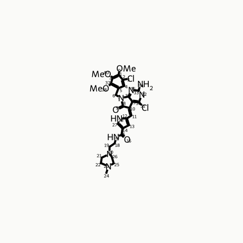 COc1c(Cl)cc(CN2C(=O)/C(=C\c3cc(C(=O)NCCN4CCN(C)CC4)c[nH]3)c3c(Cl)nc(N)nc32)c(OC)c1OC